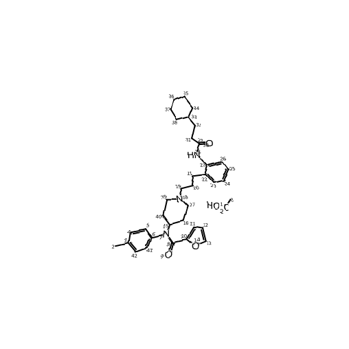 CC(=O)O.Cc1ccc(N(C(=O)c2ccco2)C2CCN(CCCc3ccccc3NC(=O)CCC3CCCCC3)CC2)cc1